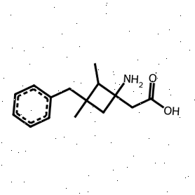 CC1C(C)(Cc2ccccc2)CC1(N)CC(=O)O